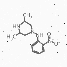 CC1CN(Nc2ccccc2[N+](=O)[O-])CC(C)N1